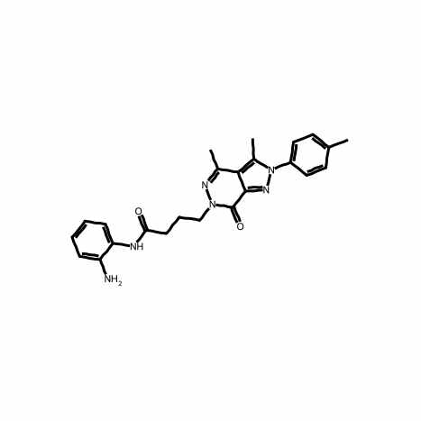 Cc1ccc(-n2nc3c(=O)n(CCCC(=O)Nc4ccccc4N)nc(C)c3c2C)cc1